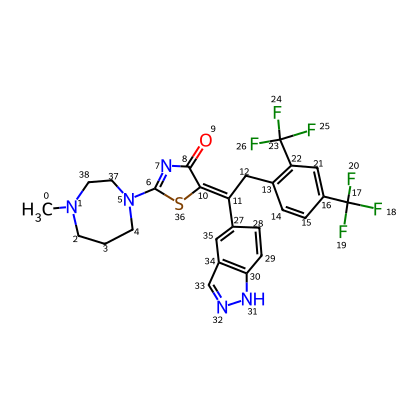 CN1CCCN(C2=NC(=O)C(=C(Cc3ccc(C(F)(F)F)cc3C(F)(F)F)c3ccc4[nH]ncc4c3)S2)CC1